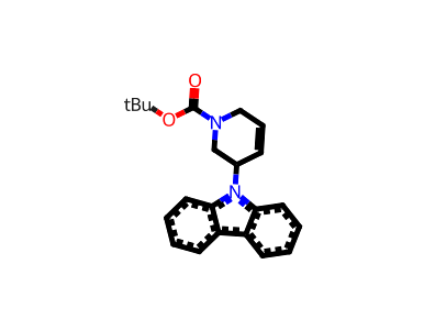 CC(C)(C)OC(=O)N1CC=CC(n2c3ccccc3c3ccccc32)C1